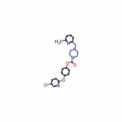 Cc1cccc(CN2CCN(C(=O)Oc3ccc(Oc4ccc(Cl)cn4)cc3)CC2)n1